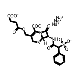 O=C([O-])CCC(=O)OCC1=C(C(=O)[O-])N2C(=O)[C@@H](NC(=O)C(c3ccccc3)S(=O)(=O)[O-])[C@@H]2SC1.[Na+].[Na+].[Na+]